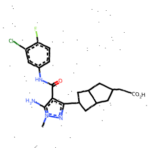 Cn1nc(C2CC3CC(CC(=O)O)CC3C2)c(C(=O)Nc2ccc(F)c(Cl)c2)c1N